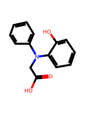 O=C(O)CN(c1ccccc1)c1ccccc1O